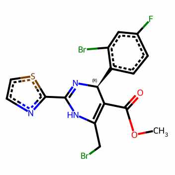 COC(=O)C1=C(CBr)NC(c2nccs2)=N[C@H]1c1ccc(F)cc1Br